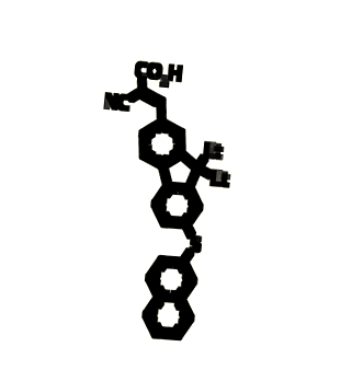 CCC1(CC)c2cc(/C=C(\C#N)C(=O)O)ccc2-c2ccc(Sc3ccc4ccccc4c3)cc21